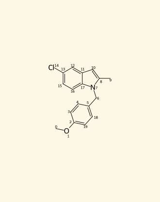 COc1ccc(Cn2c(C)[c]c3cc(Cl)ccc32)cc1